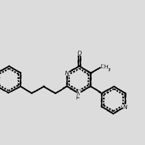 Cc1c(-c2ccncc2)[nH]c(CCCc2ccccc2)nc1=O